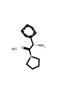 Cl.N[C@H](C(=O)N1CCCC1)c1ccccc1